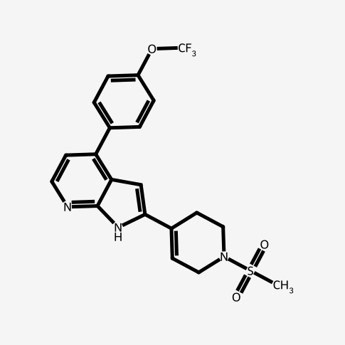 CS(=O)(=O)N1CC=C(c2cc3c(-c4ccc(OC(F)(F)F)cc4)ccnc3[nH]2)CC1